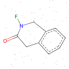 O=C1Cc2ccccc2[CH]N1F